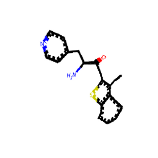 Cc1c(C(=O)C(N)Cc2ccncc2)sc2ccccc12